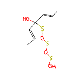 CC=CC(O)(C=CC)SOSOSO